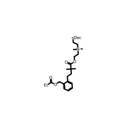 CCCCCCCCCCCC[N+](C)(C)CCOC(=O)C(C)(C)CCc1ccccc1COC(=O)CC